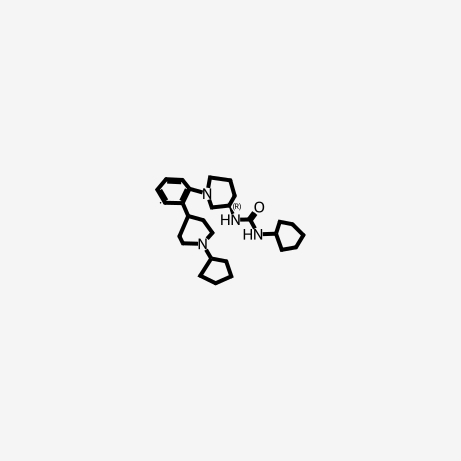 O=C(NC1CCCCC1)N[C@@H]1CCCN(c2ccc[c]c2C2CCN(C3CCCC3)CC2)C1